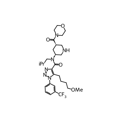 COCCCCc1c(C(=O)N(CC(C)C)[C@@H]2CNC[C@H](C(=O)N3CCOCC3)C2)nnn1-c1cccc(C(F)(F)F)c1